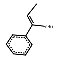 CC=C(CCCC)c1ccccc1